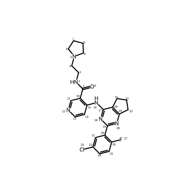 O=C(NCCN1CCCC1)c1cnccc1Nc1nc(-c2cc(Cl)ccc2F)nc2c1CCC2